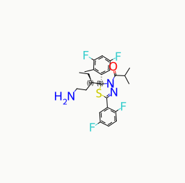 CC[C@H](CCN)[C@]1(c2cc(F)cc(F)c2C)SC(c2cc(F)ccc2F)=NN1C(=O)C(C)C